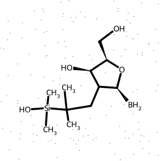 B[C@@H]1O[C@H](CO)[C@H](O)C1CC(C)(C)[Si](C)(C)O